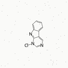 Cln1cncc2c3ccccc3nc1-2